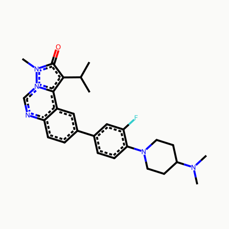 CC(C)c1c(=O)n(C)n2cnc3ccc(-c4ccc(N5CCC(N(C)C)CC5)c(F)c4)cc3c12